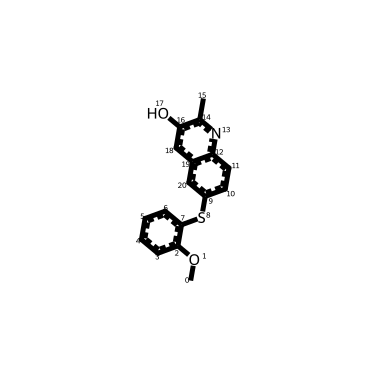 COc1ccccc1Sc1ccc2nc(C)c(O)cc2c1